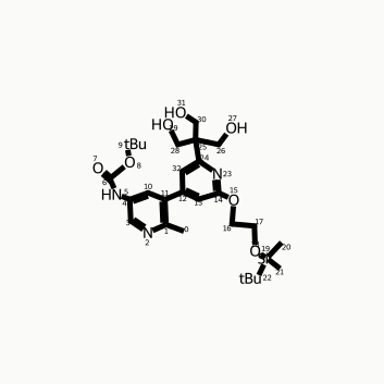 Cc1ncc(NC(=O)OC(C)(C)C)cc1-c1cc(OCCO[Si](C)(C)C(C)(C)C)nc(C(CO)(CO)CO)c1